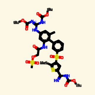 CSc1sc(C(=N)NC(=O)OC(C)(C)C)cc1S(=O)(=O)c1cccc(-c2c(C)cc(N/C(=N\C(=O)OC(C)(C)C)NC(=O)OC(C)(C)C)cc2NC(=O)COS(C)(=O)=O)c1